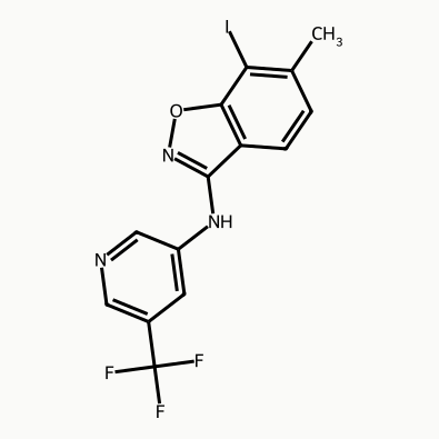 Cc1ccc2c(Nc3cncc(C(F)(F)F)c3)noc2c1I